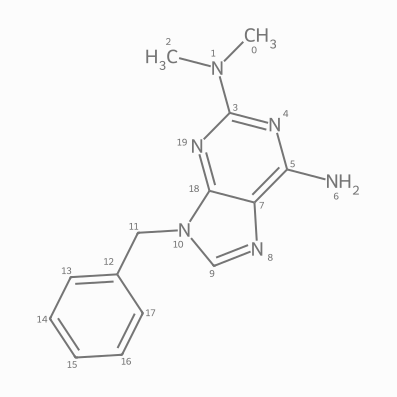 CN(C)c1nc(N)c2ncn(Cc3ccccc3)c2n1